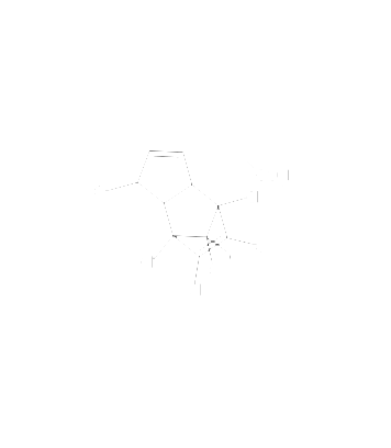 CC(=O)O.ClC1=C(Cl)C2(Cl)C3C(Cl)C=CC3C1(Cl)C2(Cl)Cl